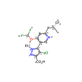 CCn1nc(C(=O)O)c(Cl)c1-c1cnc(C[C@@H](C)C(F)(F)F)cc1OC(F)F